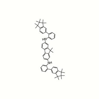 CC1(C)c2cc(Nc3ccccc3-c3ccc4c(c3)C(C)(C)C(C)(C)C4(C)C)ccc2-c2ccc(Nc3ccccc3-c3ccc4c(c3)C(C)(C)C(C)(C)C4(C)C)cc21